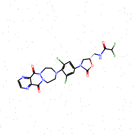 O=C(NC[C@H]1CN(c2cc(F)c(N3CCn4c(=O)c5nccnc5c(=O)n4CC3)c(F)c2)C(=O)O1)C(F)F